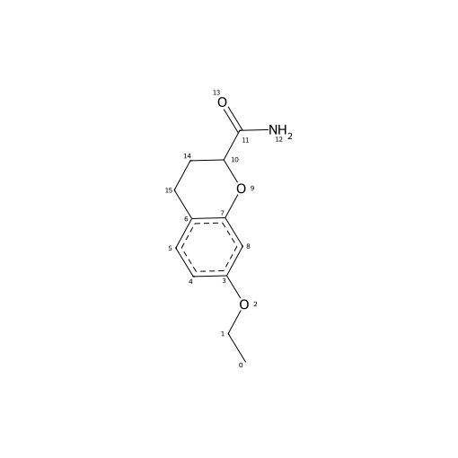 CCOc1ccc2c(c1)OC(C(N)=O)CC2